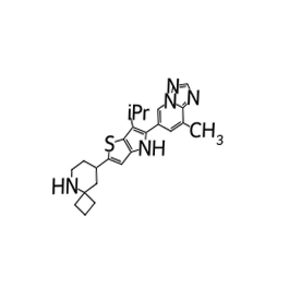 Cc1cc(-c2[nH]c3cc(C4CCNC5(CCC5)C4)sc3c2C(C)C)cn2ncnc12